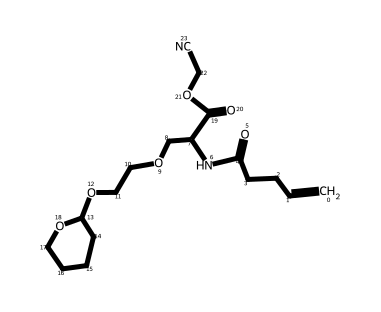 C=CCCC(=O)NC(COCCOC1CCCCO1)C(=O)OCC#N